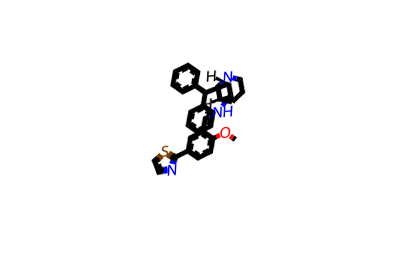 COc1ccc(-c2nccs2)cc1CN[C@H]1C2CCN(CC2)[C@H]1C(c1ccccc1)c1ccccc1